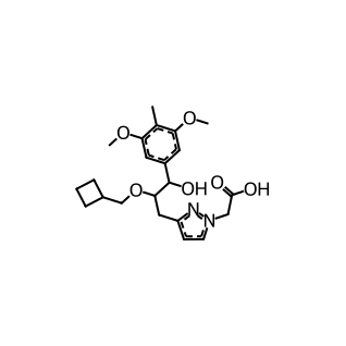 COc1cc(C(O)C(Cc2ccn(CC(=O)O)n2)OCC2CCC2)cc(OC)c1C